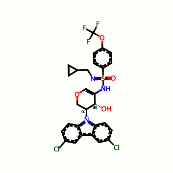 O=S(=NCC1CC1)(NC1=COC[C@H](n2c3ccc(Cl)cc3c3cc(Cl)ccc32)[C@H]1O)c1ccc(OC(F)(F)F)cc1